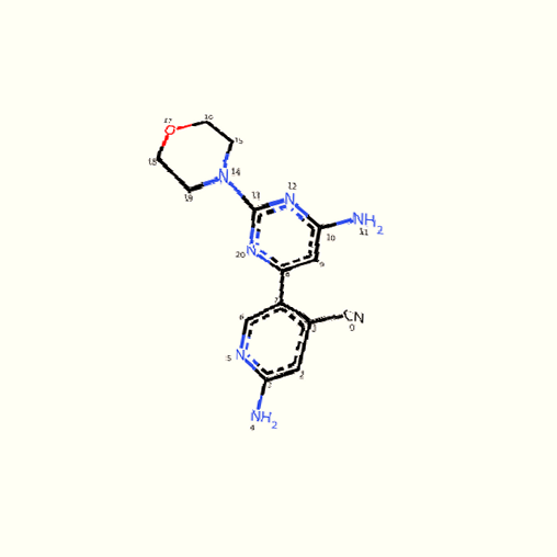 N#Cc1cc(N)ncc1-c1cc(N)nc(N2CCOCC2)n1